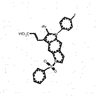 CC(C)c1c(/C=C/C(=O)O)c2cc3c(ccn3S(=O)(=O)c3ccccc3)cc2n1-c1ccc(F)cc1